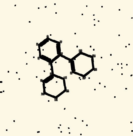 C1=C(c2ccccc2C2=CCCCC2)CCCC1